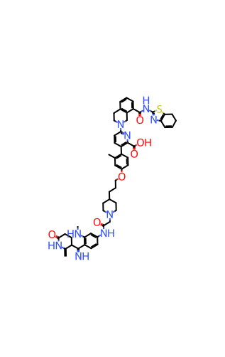 C=C1NC(=O)CCC1C(=N)c1ccc(NC(=O)CN2CCC(CCCOc3ccc(-c4ccc(N5CCc6cccc(C(=O)Nc7nc8c(s7)CCC=C8)c6C5)nc4C(=O)O)c(C)c3)CC2)cc1NC